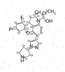 COC(O)N1c2ccc(-c3cnn(C4CCNCC4)c3)c(Oc3cc(F)cc(F)c3)c2CC[C@@H]1C